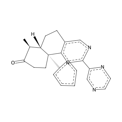 C[C@@H]1C(=O)CC[C@]2(c3ccccc3)c3nc(-c4cnccn4)ncc3CC[C@@H]12